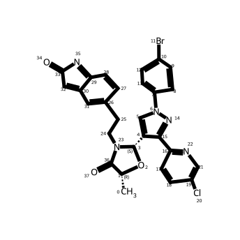 C[C@H]1O[C@@H](c2cn(-c3ccc(Br)cc3)nc2-c2ccc(Cl)cn2)N(CCc2ccc3c(c2)=CC(=O)N=3)C1=O